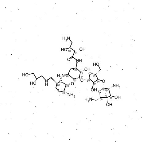 NC[C@@H]1O[C@H](O[C@H]2[C@@H](O)[C@H](O[C@@H]3[C@@H](O)[C@H](NC(=O)[C@@H](O)[C@@H](O)CN)C[C@H](N)[C@H]3O[C@H]3O[C@H](CNCC(O)CO)CC[C@H]3N)O[C@@H]2CO)[C@H](N)[C@@H](O)[C@@H]1O